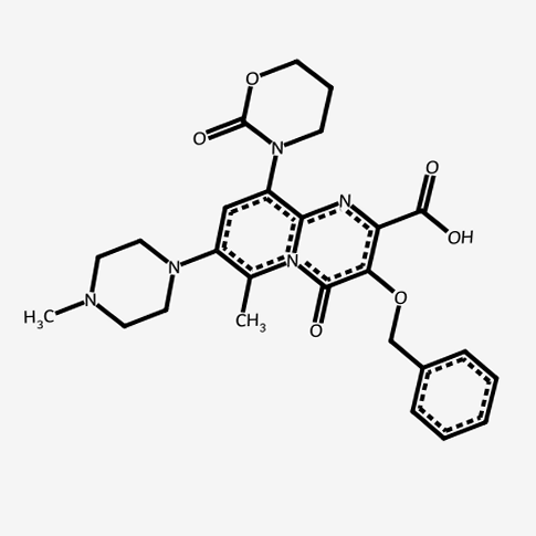 Cc1c(N2CCN(C)CC2)cc(N2CCCOC2=O)c2nc(C(=O)O)c(OCc3ccccc3)c(=O)n12